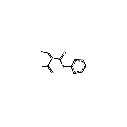 C/C=C(\C(C)=O)C(=O)Nc1ccccc1